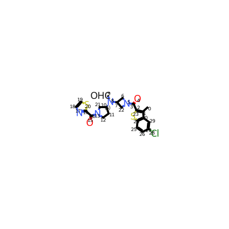 Cc1c(C(=O)N2CC(N(C=O)[C@H]3CCN(C(=O)c4nccs4)C3)C2)sc2ccc(Cl)cc12